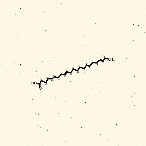 CC/C=C/CCCCCCCCC/C=C/CCCCCCCC(=O)O